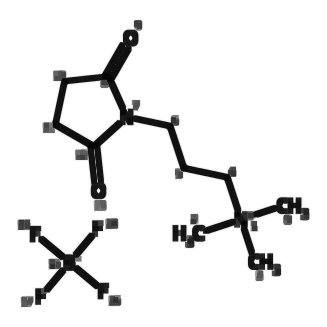 C[N+](C)(C)CCCN1C(=O)CCC1=O.F[B-](F)(F)F